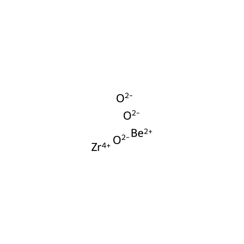 [Be+2].[O-2].[O-2].[O-2].[Zr+4]